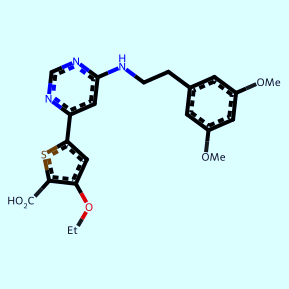 CCOc1cc(-c2cc(NCCc3cc(OC)cc(OC)c3)ncn2)sc1C(=O)O